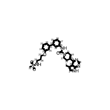 Cc1c[nH]c2ncnc(C3=CCN(C(=O)Nc4cccc(-c5cccc(OCCCNS(C)(=O)=O)c5)c4)CC3)c12